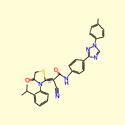 Cc1ccc(-n2cnc(-c3ccc(NC(=O)/C(C#N)=C4\SCC(=O)N4c4ccccc4C(C)C)cc3)n2)cc1